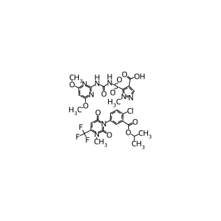 CC(C)OC(=O)c1cc(-n2c(=O)cc(C(F)(F)F)n(C)c2=O)ccc1Cl.COc1cc(OC)nc(NC(=O)NS(=O)(=O)c2c(C(=O)O)cnn2C)n1